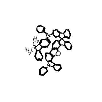 CC1(C)c2ccccc2-c2ccc(N(c3ccccc3)c3ccc4c(c3)C3(c5ccccc5-4)c4ccccc4-c4c3ccc3c4oc4c3ccc3c4c4ccccc4n3-c3ccccc3)cc21